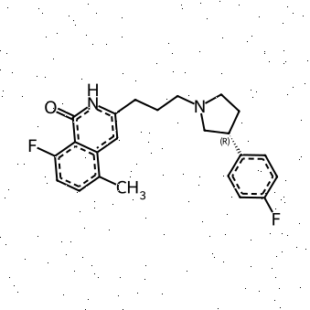 Cc1ccc(F)c2c(=O)[nH]c(CCCN3CC[C@H](c4ccc(F)cc4)C3)cc12